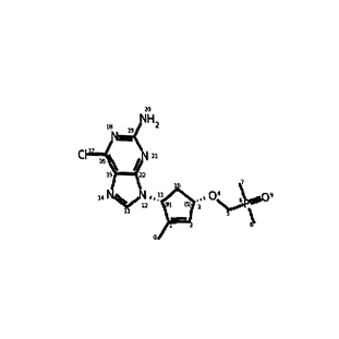 CC1=C[C@@H](OCP(C)(C)=O)C[C@H]1n1cnc2c(Cl)nc(N)nc21